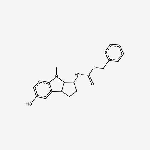 CN1c2ccc(O)cc2C2CCC(NC(=O)OCc3ccccc3)C21